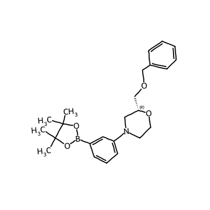 CC1(C)OB(c2cccc(N3CCO[C@@H](COCc4ccccc4)C3)c2)OC1(C)C